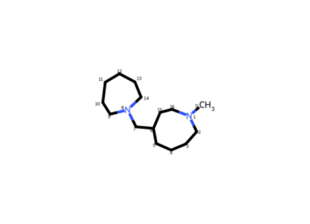 CN1CCCCC(CN2CCCCCC2)CC1